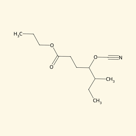 CCCOC(=O)CCC(OC#N)C(C)CC